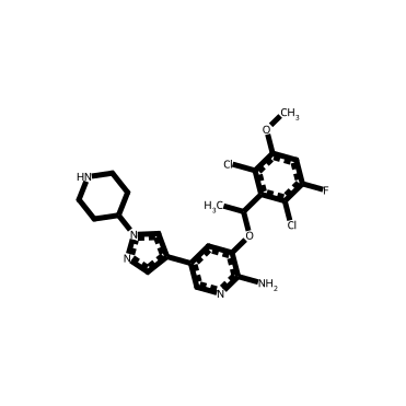 COc1cc(F)c(Cl)c(C(C)Oc2cc(-c3cnn(C4CCNCC4)c3)cnc2N)c1Cl